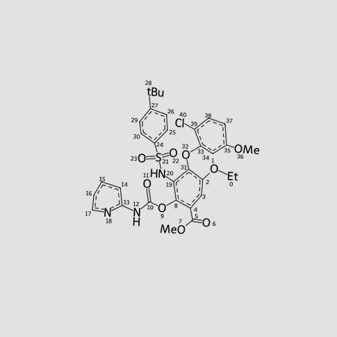 CCOc1cc(C(=O)OC)c(OC(=O)Nc2ccccn2)c(NS(=O)(=O)c2ccc(C(C)(C)C)cc2)c1Oc1cc(OC)ccc1Cl